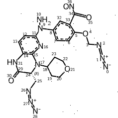 [N-]=[N+]=NCOc1ccc(N(N)c2ccc3c(n2)N(C2CCOCC2)[C@H](CN=[N+]=[N-])C(=O)N3)cc1C(=O)N=O